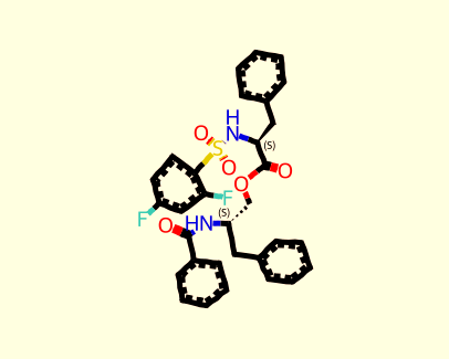 O=C(N[C@H](COC(=O)[C@H](Cc1ccccc1)NS(=O)(=O)c1ccc(F)cc1F)Cc1ccccc1)c1ccccc1